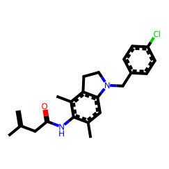 C=C(C)CC(=O)Nc1c(C)cc2c(c1C)CCN2Cc1ccc(Cl)cc1